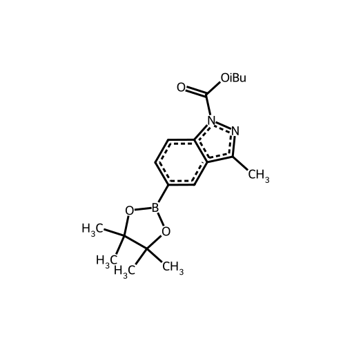 Cc1nn(C(=O)OCC(C)C)c2ccc(B3OC(C)(C)C(C)(C)O3)cc12